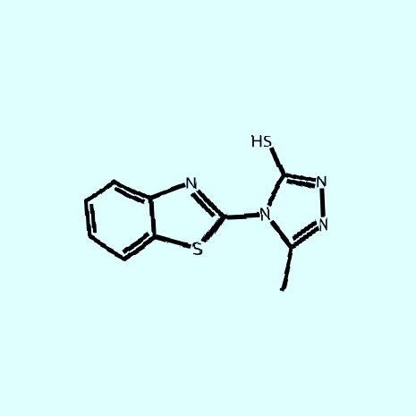 Cc1nnc(S)n1-c1nc2ccccc2s1